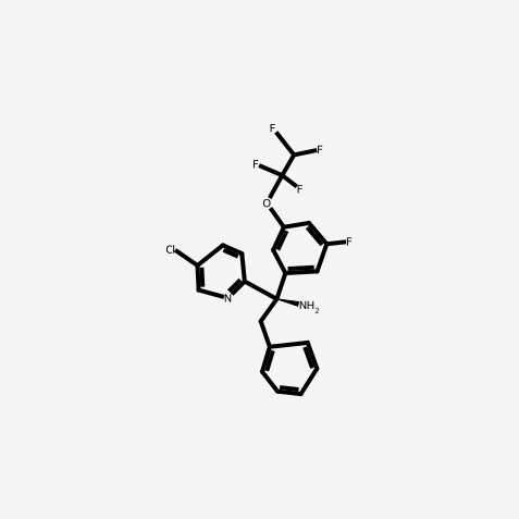 N[C@](Cc1ccccc1)(c1cc(F)cc(OC(F)(F)C(F)F)c1)c1ccc(Cl)cn1